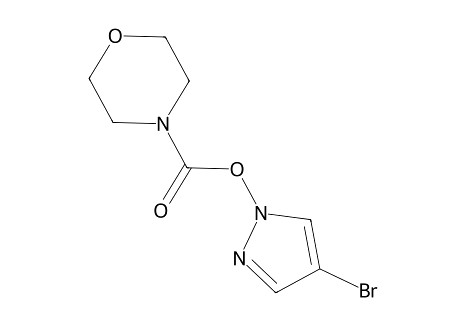 O=C(On1cc(Br)cn1)N1CCOCC1